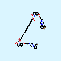 O=C(CCCCCCCCCCCCCCCCCCC(=O)OCN1C(=O)CCc2ccc(OCCCCN3CCN(c4cccc5sccc45)CC3)cc21)OCN1C(=O)CCc2ccc(OCCCCN3CCN(c4cccc5sccc45)CC3)cc21